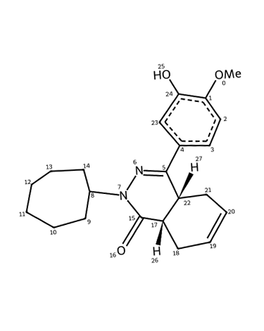 COc1ccc(C2=NN(C3CCCCCC3)C(=O)[C@H]3CC=CC[C@@H]23)cc1O